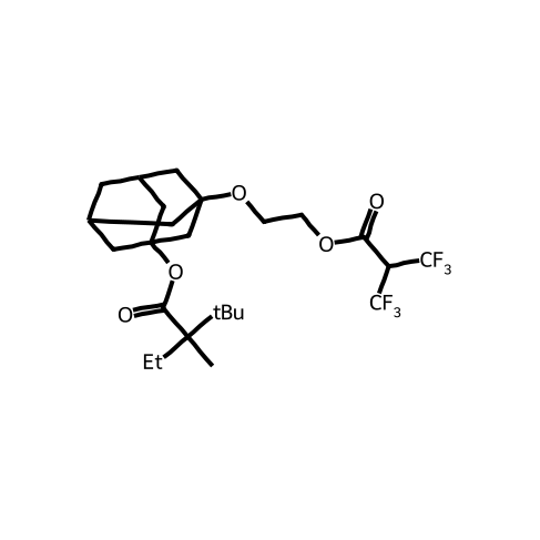 CCC(C)(C(=O)OC12CC3CC(CC(OCCOC(=O)C(C(F)(F)F)C(F)(F)F)(C3)C1)C2)C(C)(C)C